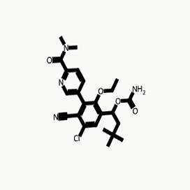 CCOc1c(C(CC(C)(C)C)OC(N)=O)cc(Cl)c(C#N)c1-c1ccc(C(=O)N(C)C)nc1